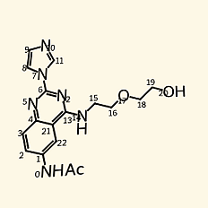 CC(=O)Nc1ccc2nc(-n3ccnc3)nc(NCCOCCO)c2c1